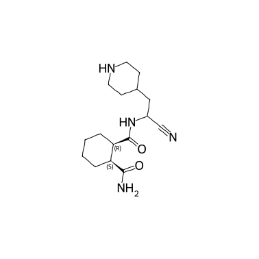 N#CC(CC1CCNCC1)NC(=O)[C@@H]1CCCC[C@@H]1C(N)=O